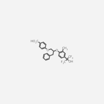 Cc1cc(C(O)(C(F)(F)F)C(F)(F)F)ccc1OC(COc1ccc(C(=O)O)cc1)Cc1ccccc1